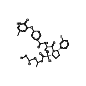 CCC(CC)(C(=O)OC(C)OC(=O)OC(C)C)[C@H]1CC[C@@H](c2cccc(F)c2)N1C(=O)[C@@H](C)NC(=O)c1ccc(Oc2cc(C)n[nH]c2=O)cc1